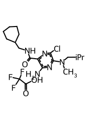 CC(C)CN(C)c1nc(N)c(C(=O)NCC2CCCCC2)nc1Cl.O=C(O)C(F)(F)F